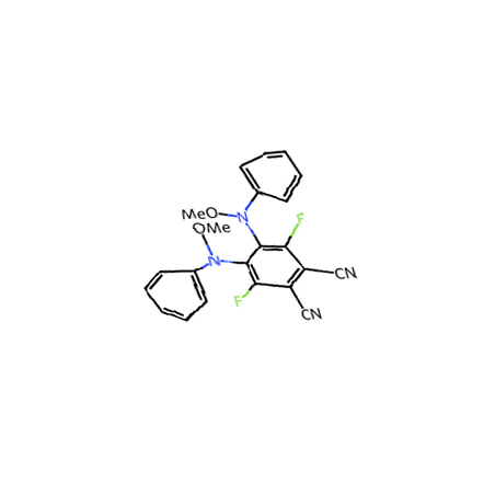 CON(c1ccccc1)c1c(F)c(C#N)c(C#N)c(F)c1N(OC)c1ccccc1